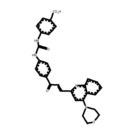 O=C(Nc1ccc(C(=O)O)cc1)Nc1ccc(C(=O)/C=C/c2cc(N3CCOCC3)c3ccccc3n2)cc1